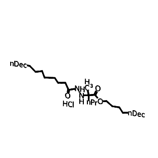 CCCCCCCCCCCCCCCCCC(=O)NNC(C)(CCC)C(=O)OCCCCCCCCCCCCCC.Cl